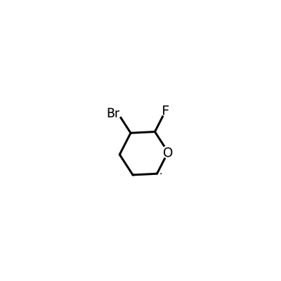 FC1O[CH]CCC1Br